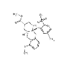 COC(=O)[C@@H]1CN[C@@H]2Cc3cccc(OC)c3C[C@H]2C1.Cc1ccc(S(=O)(=O)O)cc1